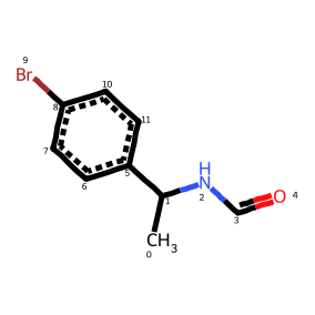 CC(NC=O)c1ccc(Br)cc1